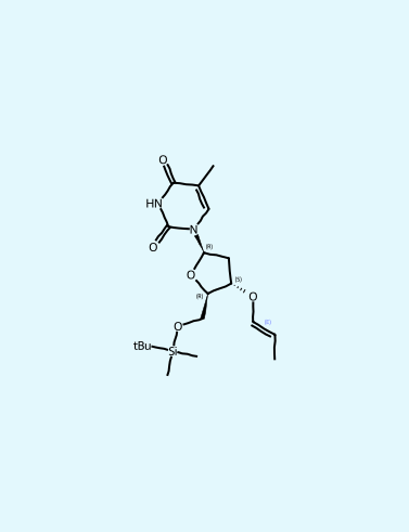 C/C=C/O[C@H]1C[C@H](n2cc(C)c(=O)[nH]c2=O)O[C@@H]1CO[Si](C)(C)C(C)(C)C